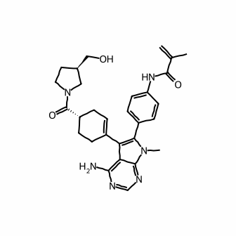 C=C(C)C(=O)Nc1ccc(-c2c(C3=CC[C@@H](C(=O)N4CC[C@@H](CO)C4)CC3)c3c(N)ncnc3n2C)cc1